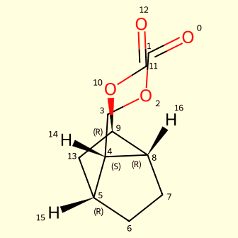 O=COC[C@H]1[C@@H]2CC[C@H]1[C@H](OC=O)C2